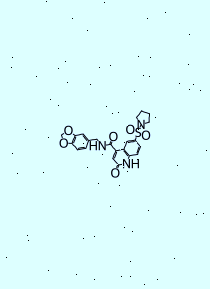 O=C(NCc1ccc2c(c1)OCO2)c1cc(=O)[nH]c2ccc(S(=O)(=O)N3CCCC3)cc12